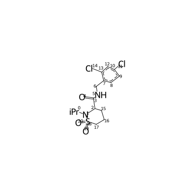 CC(C)N1C(C(=O)NCc2ccc(Cl)cc2Cl)CCCS1(=O)=O